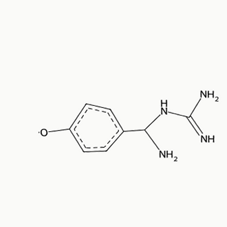 N=C(N)NC(N)c1ccc([O])cc1